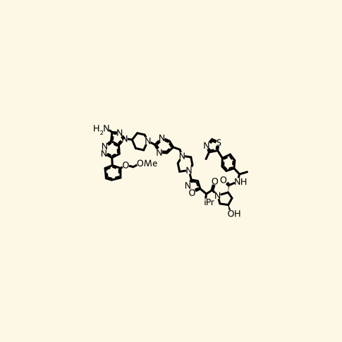 COCOc1ccccc1-c1cc2c(nn1)c(N)nn2C1CCN(c2ncc(CN3CCN(c4cc(C(C(=O)N5C[C@H](O)C[C@H]5C(=O)NC(C)c5ccc(-c6scnc6C)cc5)C(C)C)on4)CC3)cn2)CC1